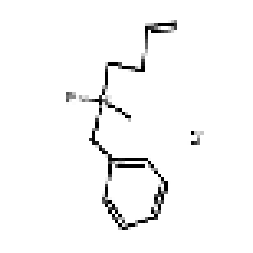 C=CCC[N+](C)(CC)Cc1ccccc1.[Cl-]